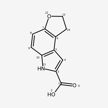 O=C(O)c1cc2c3c(ccc2[nH]1)OCC3